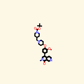 COc1cc(-c2cn(C)c(=O)c3cnccc23)ccc1OC1CCN(CC2CCN(C(=O)OC(C)(C)C)CC2)CC1